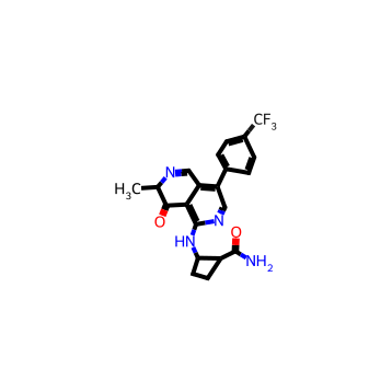 CC1N=Cc2c(-c3ccc(C(F)(F)F)cc3)cnc(NC3CCC3C(N)=O)c2C1=O